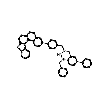 c1ccc(CNNN(Cc2ccc(-c3ccc4c(ccc5ccc6sc7ccccc7c6c54)c3)cc2)Cc2cccc(-c3ccccc3)c2)cc1